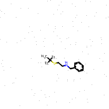 CCC(C)(CC)SCCNCc1ccccc1